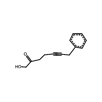 O=C(CO)CCC#CCc1ccccc1